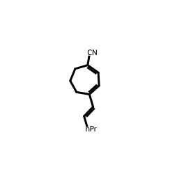 CCC/C=C/C1=CC=C(C#N)CCC1